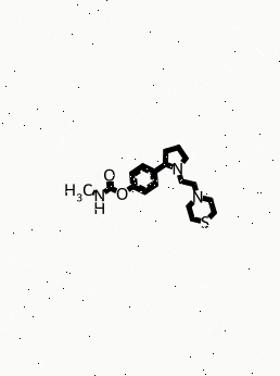 CNC(=O)Oc1ccc(C2CCCN2CCN2CCSCC2)cc1